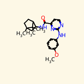 COc1cccc(Nc2nccc(C(=O)NC3CC4(C)CCC3C4(C)C)n2)c1